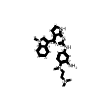 CN(C)CCN(C)c1ccc(Nc2nc(-c3cn(C)c4ccccc34)c3cc[nH]c3n2)cc1N